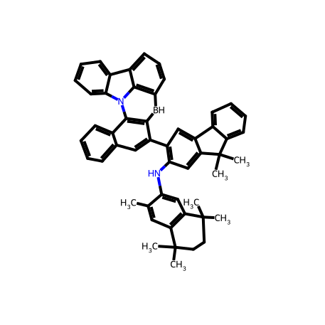 Cc1cc2c(cc1Nc1cc3c(cc1-c1cc4ccccc4c4c1Bc1cccc5c6ccccc6n-4c15)-c1ccccc1C3(C)C)C(C)(C)CCC2(C)C